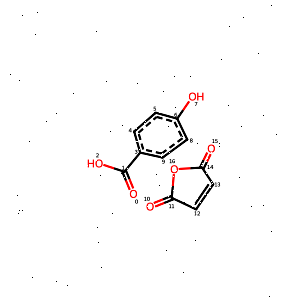 O=C(O)c1ccc(O)cc1.O=C1C=CC(=O)O1